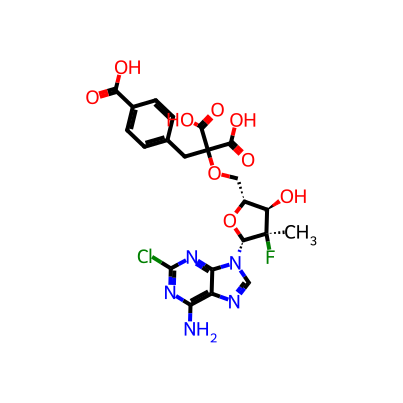 C[C@@]1(F)[C@H](O)[C@@H](COC(Cc2ccc(C(=O)O)cc2)(C(=O)O)C(=O)O)O[C@H]1n1cnc2c(N)nc(Cl)nc21